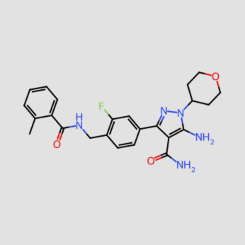 Cc1ccccc1C(=O)NCc1ccc(-c2nn(C3CCOCC3)c(N)c2C(N)=O)cc1F